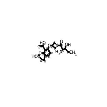 CCC(O)[C@H](N)C(=O)N1CC(Oc2ccc3c(c2C(=O)O)OB(O)CC3)C1